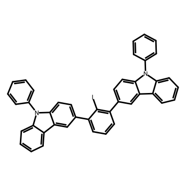 Ic1c(-c2ccc3c(c2)c2ccccc2n3-c2ccccc2)cccc1-c1ccc2c(c1)c1ccccc1n2-c1ccccc1